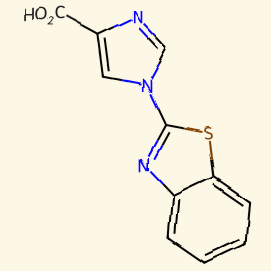 O=C(O)c1cn(-c2nc3ccccc3s2)cn1